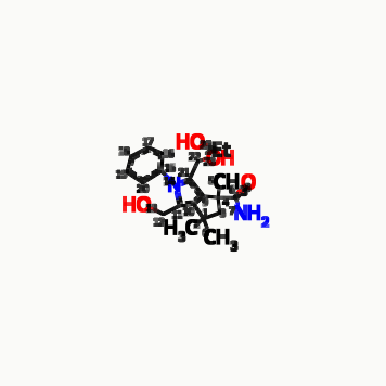 CC1(C)CC(C)(C(N)=O)c2c1c(CO)n(-c1ccccc1)c2CO.CCO